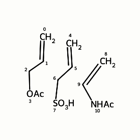 C=CCOC(C)=O.C=CCS(=O)(=O)O.C=CNC(C)=O